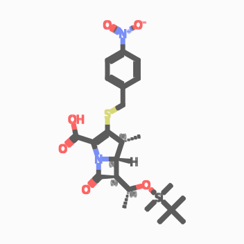 C[C@@H](O[Si](C)(C)C(C)(C)C)[C@H]1C(=O)N2C(C(=O)O)=C(SCc3ccc([N+](=O)[O-])cc3)[C@H](C)[C@H]12